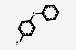 Brc1ccc(Sc2cc[c]cc2)cc1